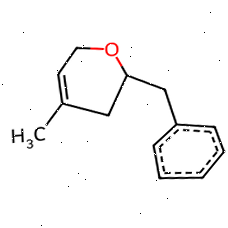 CC1=CCOC(Cc2ccccc2)C1